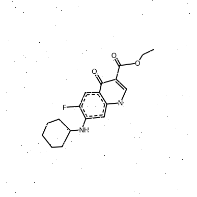 CCOC(=O)C1=C[N]c2cc(NC3CCCCC3)c(F)cc2C1=O